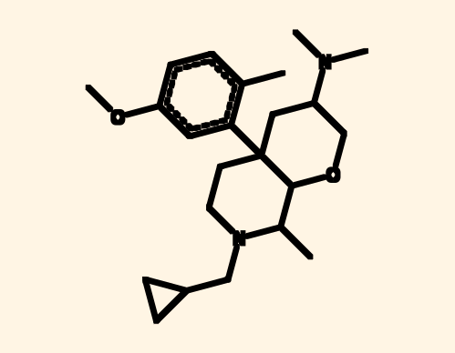 COc1ccc(C)c(C23CCN(CC4CC4)C(C)C2OCC(N(C)C)C3)c1